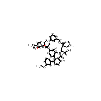 C=C/C(CC(Oc1nsc2cnc(-c3cccc(OC)c3)c(-c3ccc(OCCN4CCN(C)CC4)c(Cl)c3C)c12)C(=O)O)=C(\C)OCc1ccnc(N2CCC(OC(C)F)CC2)n1